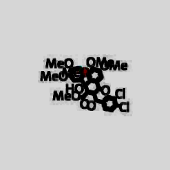 COC(=O)C1=C(C(=O)c2ccc(Cl)c(Cl)c2)C(=O)c2cc(OC)c(OC)c(OC)c2C1(O)c1ccc(OC)c(OC)c1